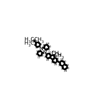 CC(C)(C)c1ccc(N2c3ccccc3N(c3ccc4c(c3)C(C)(C)c3cc(-c5ccc6ccccc6c5)ccc3-4)c3ccccc32)cc1